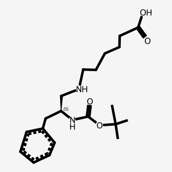 CC(C)(C)OC(=O)N[C@H](CNCCCCCC(=O)O)Cc1ccccc1